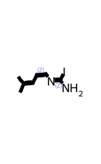 CC(C)=C/C=C\N=C(\N)I